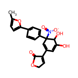 Cc1ccc(-c2ccc(C3([N+](=O)[O-])C=C(C4=CCOC4=O)C=C(O)C3O)cc2)o1